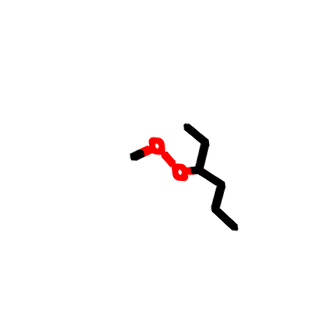 CCCC(CC)OOC